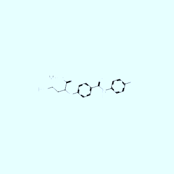 COC(=O)C(CCO)Sc1ccc(C(=O)Nc2ccc(Cl)cc2)cc1